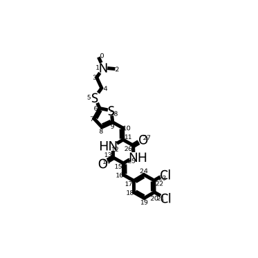 CN(C)CCSc1ccc(/C=c2\[nH]c(=O)/c(=C/c3ccc(Cl)c(Cl)c3)[nH]c2=O)s1